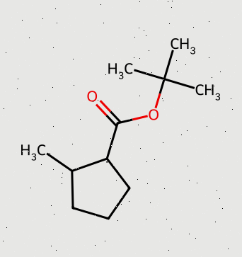 CC1CCC[C]1C(=O)OC(C)(C)C